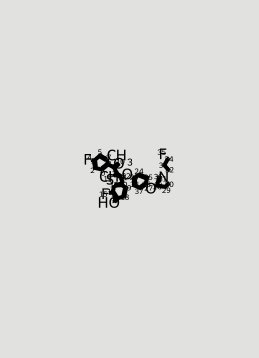 Cc1cc(F)cc(C)c1C(=O)c1sc2c(F)c(O)ccc2c1Oc1ccc(O[C@H]2CCN(CCCF)C2)cc1